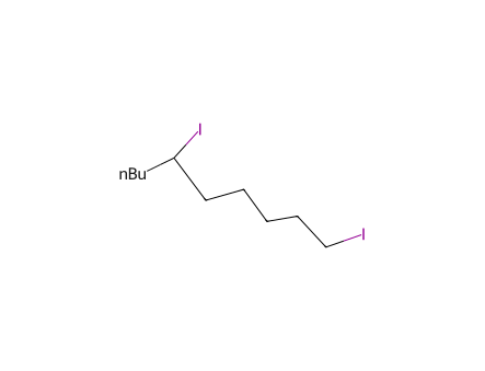 CCCCC(I)CCCCCI